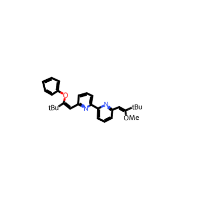 CO/C(=C\c1cccc(-c2cccc(/C=C(\Oc3ccccc3)C(C)(C)C)n2)n1)C(C)(C)C